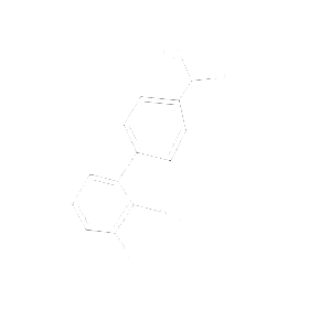 CC(C)c1ccc(-c2cccc(F)c2N)cc1